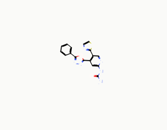 CCNC(=O)Nc1cc(-c2nnc(-c3ccccc3)o2)c(-c2nccs2)cn1